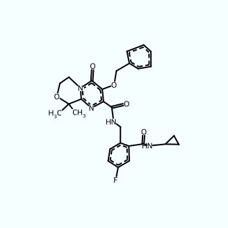 CC1(C)OCCn2c1nc(C(=O)NCc1ccc(F)cc1C(=O)NC1CC1)c(OCc1ccccc1)c2=O